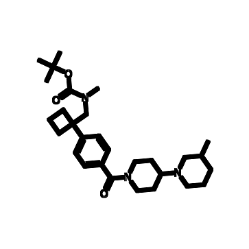 CC1CCCN(C2CCN(C(=O)c3ccc(C4(CN(C)C(=O)OC(C)(C)C)CCC4)cc3)CC2)C1